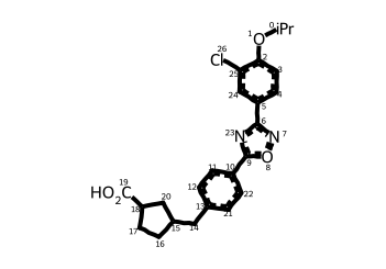 CC(C)Oc1ccc(-c2noc(-c3ccc(CC4CCC(C(=O)O)C4)cc3)n2)cc1Cl